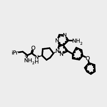 CC(C)C[C@H](N)C(=O)N[C@H]1CC[C@H](n2nc(-c3ccc(Oc4ccccc4)cc3)c3c(N)ncnc32)CC1